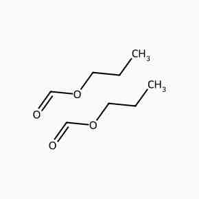 CCCOC=O.CCCOC=O